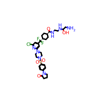 NCC(O)NCCNC(=O)[C@H]1CC[C@H](C(F)(F)c2cc(Cl)nc(N3CCN(S(=O)(=O)c4ccc(N5CCCC5=O)cc4)CC3)c2)CC1